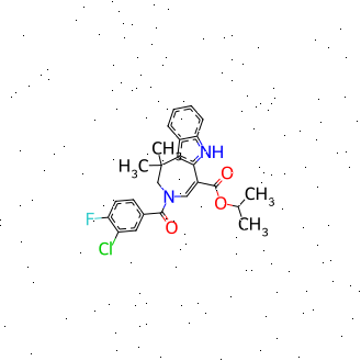 CC(C)OC(=O)C1=CN(C(=O)c2ccc(F)c(Cl)c2)CC(C)(C)c2c1[nH]c1ccccc21